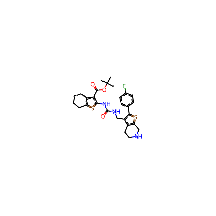 CC(C)(C)OC(=O)c1c(NC(=O)NCc2c(-c3ccc(F)cc3)sc3c2CCNC3)sc2c1CCCC2